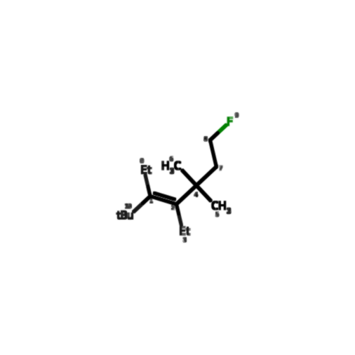 CCC(=C(CC)C(C)(C)CCF)C(C)(C)C